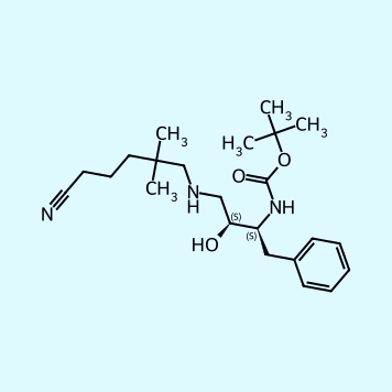 CC(C)(CCCC#N)CNC[C@H](O)[C@H](Cc1ccccc1)NC(=O)OC(C)(C)C